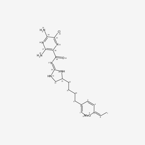 C\C=C(/C=C\C(=C/C)OC)CCCCC1CN/C(=N/C(=O)c2nc(Cl)c(N)nc2N)N1